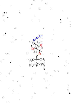 C[SiH](C)C(C)(C)CO[C@@H]1CO[C@H]2[C@@H]1OC[C@@H]2N=[N+]=[N-]